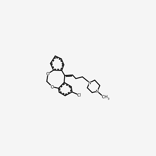 CN1CCN(CC/C=C2/c3ccccc3OCOc3ccc(Cl)cc32)CC1